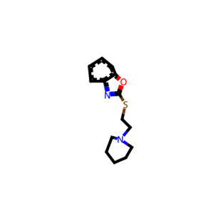 c1ccc2oc(SCCN3CCCCC3)nc2c1